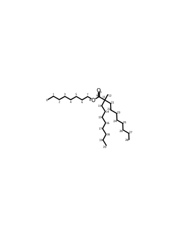 CCCCCCCCOC(=O)C(C)(CCCCCCCC)CCCCCCCC